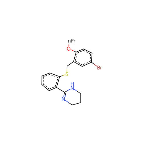 CCCOc1ccc(Br)cc1CSc1ccccc1C1=NCCCN1